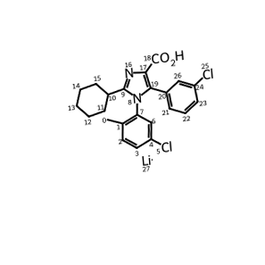 Cc1ccc(Cl)cc1-n1c(C2CCCCC2)nc(C(=O)O)c1-c1cccc(Cl)c1.[Li]